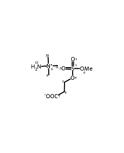 COS(=O)(=O)OCCC(=O)[O-].C[N+](C)(C)N